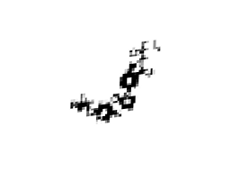 C[S+]([O-])CN1Cc2ccc(N3CC[C@@H](Oc4ccc(OCC(F)(F)F)nc4)C3=O)cc2C1=O